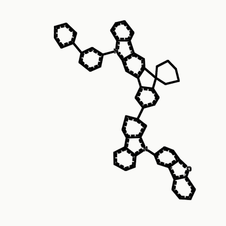 c1ccc(-c2cccc(-n3c4ccccc4c4cc5c(cc43)-c3cc(-c4ccc6c7ccccc7n(-c7ccc8oc9ccccc9c8c7)c6c4)ccc3C53CCCCC3)c2)cc1